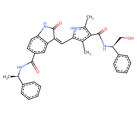 Cc1[nH]c(/C=C2\C(=O)Nc3ccc(C(=O)N[C@H](C)c4ccccc4)cc32)c(C)c1C(=O)N[C@@H](CO)c1ccccc1